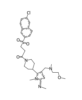 C/N=c1\sc(CN(C)CCOC)c(C2CCN(C(=O)CCS(=O)(=O)c3ccc4cc(Cl)ccc4c3)CC2)n1C